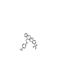 COc1ccc(OC[C@H]2c3cccn3CC(=O)N2Cc2cccc(C(F)(F)F)c2)cc1